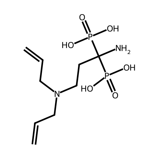 C=CCN(CC=C)CCC(N)(P(=O)(O)O)P(=O)(O)O